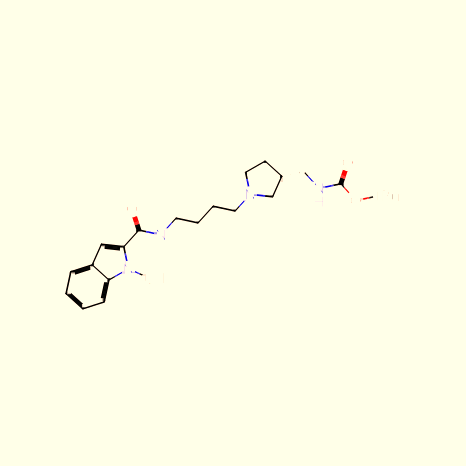 Cn1c(C(=O)NCCCCN2CC[C@H](CNC(=O)OC(C)(C)C)C2)cc2ccccc21